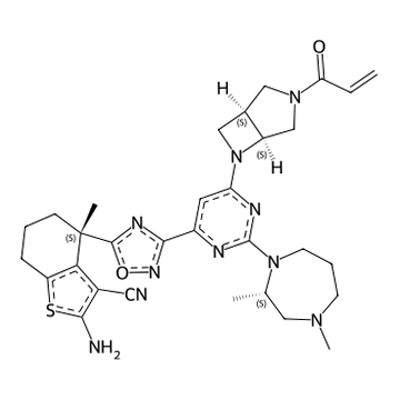 C=CC(=O)N1C[C@@H]2CN(c3cc(-c4noc([C@@]5(C)CCCc6sc(N)c(C#N)c65)n4)nc(N4CCCN(C)C[C@@H]4C)n3)[C@@H]2C1